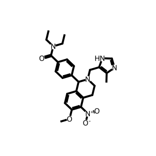 CCN(CC)C(=O)c1ccc(C2c3ccc(OC)c([N+](=O)[O-])c3CCN2Cc2[nH]cnc2C)cc1